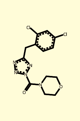 O=C(N1CCOCC1)n1nnc(Cc2ccc(Cl)cc2Cl)n1